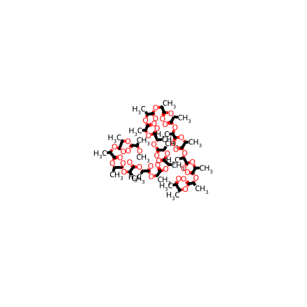 COC(C)C(=O)OC(C)C(=O)OC(C)C(=O)OC(C)C(=O)OC(C)C(=O)OC(C)C(=O)OC(C)C(=O)OC(C)C(=O)OC(C)C(=O)OC(C)C(=O)OC(C)C(=O)OC(C)C(=O)OC(C)C(=O)OC(C)C(=O)OC(C)C(=O)OC(C)C(=O)OC(C)C(=O)OC(C)C(=O)OC(C)C(=O)OC(C)C(C)=O